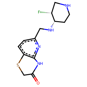 O=C1CSc2ccc(CN[C@H]3CCNC[C@H]3F)nc2N1